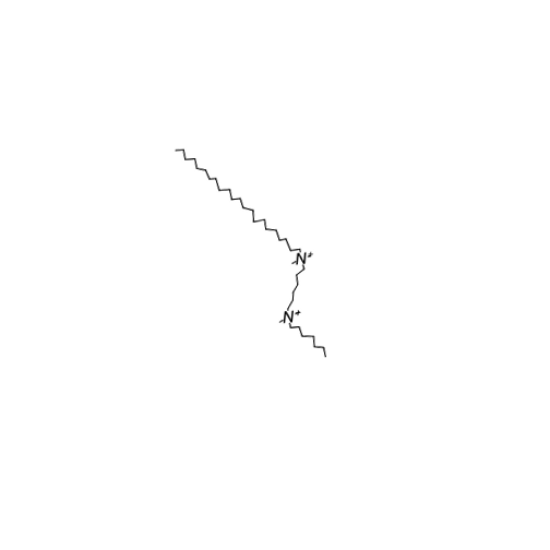 CCCCCCCCCCCCCCCCCCCCCC[N+](C)(C)CCCCCC[N+](C)(C)CCCCCCC